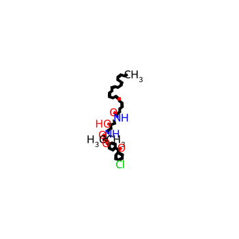 CC/C=C\C/C=C\C/C=C\C/C=C\C/C=C\C/C=C\CCC(=O)NCCC(O)CCNC(=O)C(C)(C)Oc1ccc(C(=O)c2ccc(Cl)cc2)cc1